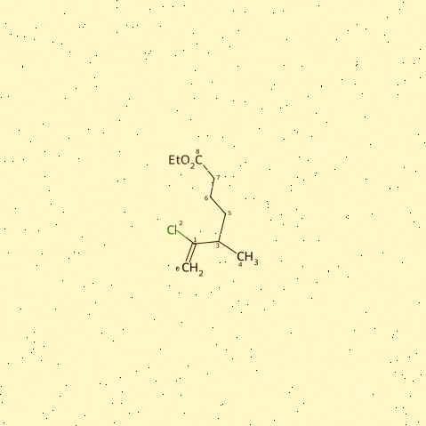 C=C(Cl)C(C)CCCC(=O)OCC